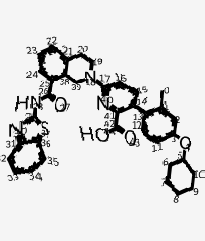 Cc1cc(OC2CCCCC2)ccc1-c1ccc(N2CCc3cccc(C(=O)Nc4nc5ccccc5s4)c3C2)nc1C(=O)O